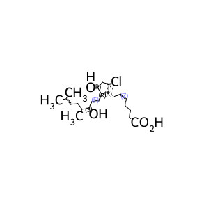 CC(C)=CCC(C)[C@H](O)/C=C/[C@@H]1[C@@H](C/C=C\CCCC(=O)O)[C@H](Cl)C[C@H]1O